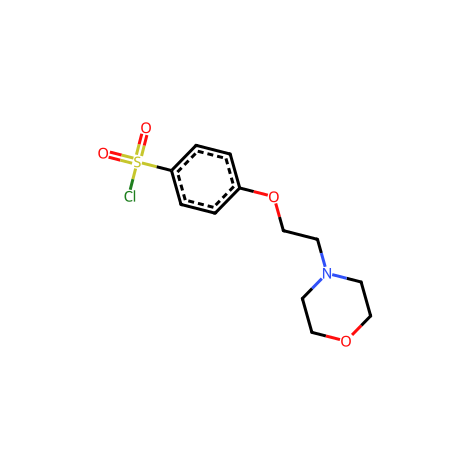 O=S(=O)(Cl)c1ccc(OCCN2CCOCC2)cc1